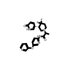 CC(C(=O)Nc1ccc(Oc2cccnc2)cn1)N1CCC(F)(F)[C@@H](c2ccc(=O)[nH]c2)C1